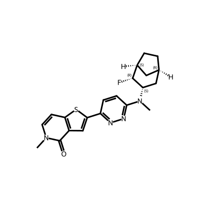 CN(c1ccc(-c2cc3c(=O)n(C)ccc3s2)nn1)[C@H]1C[C@@H]2CC[C@@H](C2)[C@H]1F